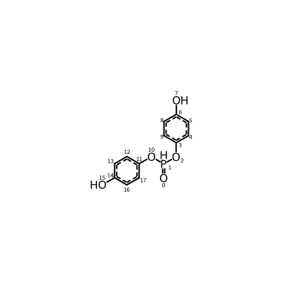 O=[PH](Oc1ccc(O)cc1)Oc1ccc(O)cc1